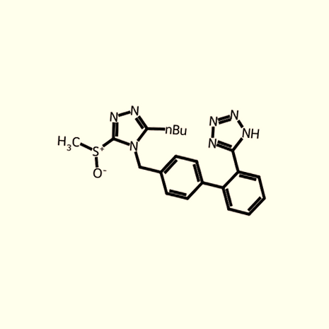 CCCCc1nnc([S+](C)[O-])n1Cc1ccc(-c2ccccc2-c2nnn[nH]2)cc1